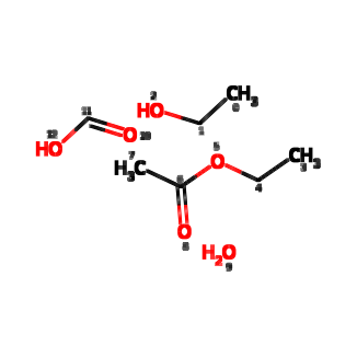 CCO.CCOC(C)=O.O.O=CO